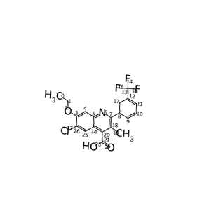 CCOc1cc2nc(-c3cccc(C(F)(F)F)c3)c(C)c(C(=O)O)c2cc1Cl